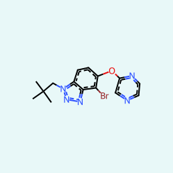 CC(C)(C)Cn1nnc2c(Br)c(Oc3cnccn3)ccc21